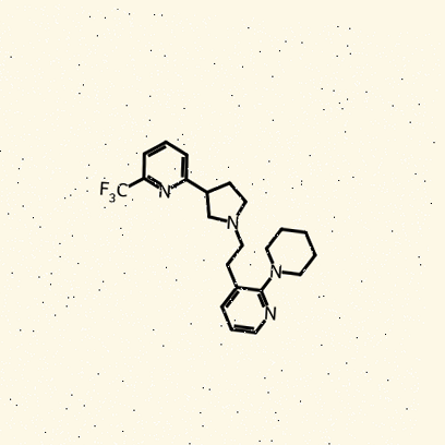 FC(F)(F)c1cccc(C2CCN(CCc3cccnc3N3CCCCC3)C2)n1